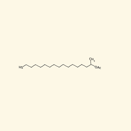 CC(=O)OC(C)CCCCCCCCCCCCCCS